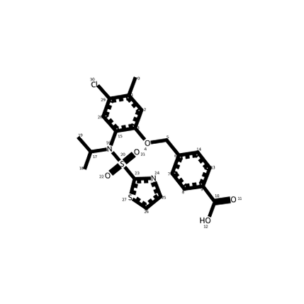 Cc1cc(OCc2ccc(C(=O)O)cc2)c(N(C(C)C)S(=O)(=O)c2nccs2)cc1Cl